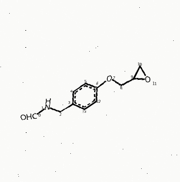 O=CNCc1ccc(OCC2CO2)cc1